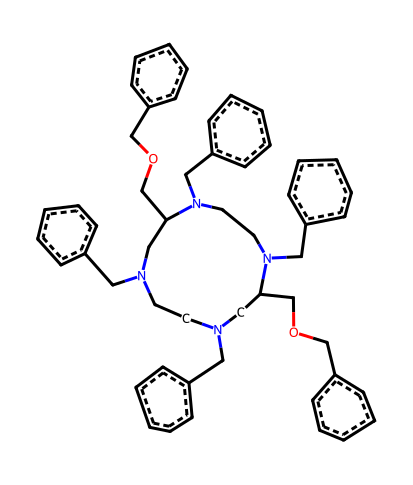 c1ccc(COCC2CN(Cc3ccccc3)CCN(Cc3ccccc3)CC(COCc3ccccc3)N(Cc3ccccc3)CCN2Cc2ccccc2)cc1